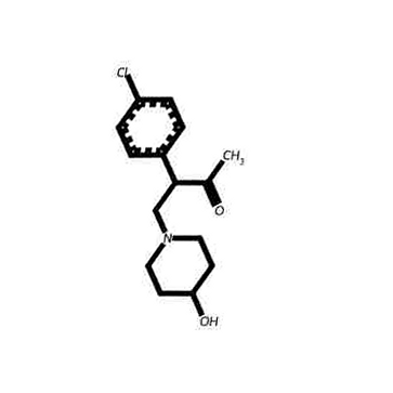 CC(=O)C(CN1CCC(O)CC1)c1ccc(Cl)cc1